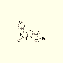 CC1COCCN1c1nc(Cl)nc2c1CCN(C(=O)OC(C)(C)C)C2CC#N